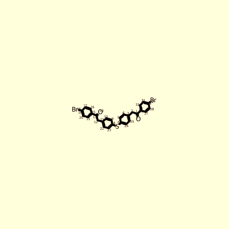 O=C(Cc1ccc(Sc2ccc(CC(=O)c3ccc(Br)cc3)cc2)cc1)c1ccc(Br)cc1